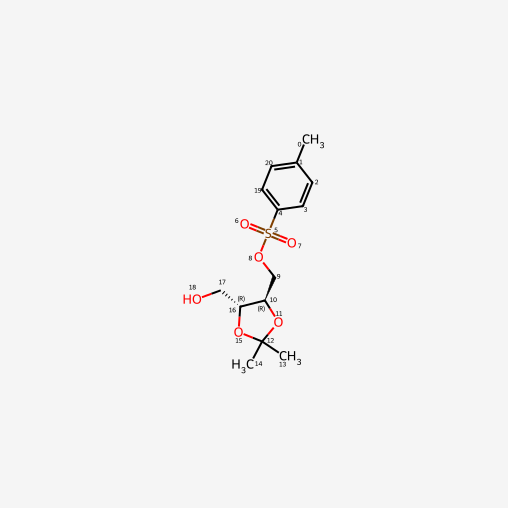 Cc1ccc(S(=O)(=O)OC[C@H]2OC(C)(C)O[C@@H]2CO)cc1